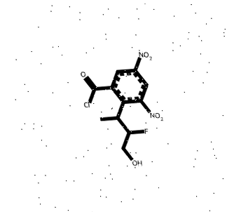 CC(c1c(C(=O)Cl)cc([N+](=O)[O-])cc1[N+](=O)[O-])C(F)CO